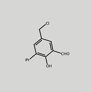 CC(C)c1cc(CCl)cc(C=O)c1O